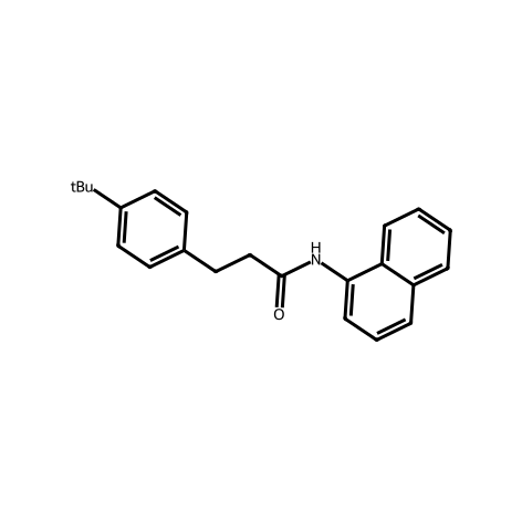 CC(C)(C)c1ccc(CCC(=O)Nc2cccc3ccccc23)cc1